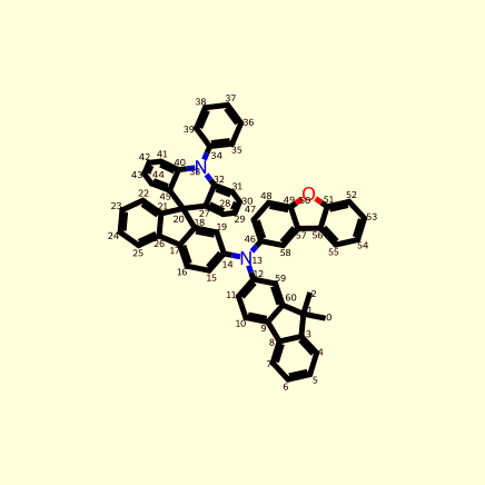 CC1(C)c2ccccc2-c2ccc(N(c3ccc4c(c3)C3(c5ccccc5-4)c4ccccc4N(c4ccccc4)c4ccccc43)c3ccc4oc5ccccc5c4c3)cc21